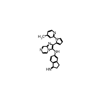 Cc1ccnc(-n2cccc2-c2nc3cnccn3c2Nc2ccc3c(c2)CCC3=N)c1